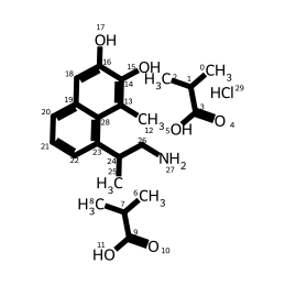 CC(C)C(=O)O.CC(C)C(=O)O.Cc1c(O)c(O)cc2cccc(C(C)CN)c12.Cl